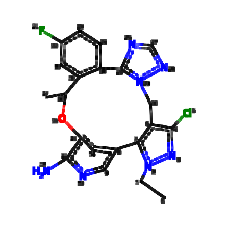 CCn1nc(Cl)c2c1-c1cnc(N)c(c1)OC(C)c1cc(F)ccc1-c1ncnn1C2